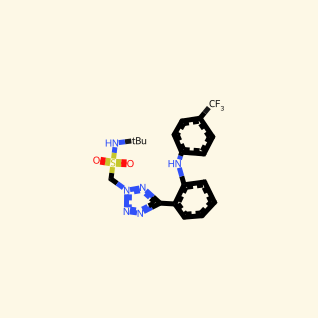 CC(C)(C)NS(=O)(=O)Cn1nnc(-c2ccccc2Nc2ccc(C(F)(F)F)cc2)n1